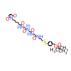 CC(C)(C)C(=O)OCc1ccc(SSCCCNC(=O)CNC(=O)CNC(=O)CNC(=O)CCCCCN2C(=O)C=CC2=O)cc1